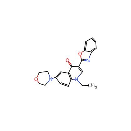 CCn1cc(-c2nc3ccccc3o2)c(=O)c2cc(N3CCOCC3)ccc21